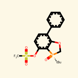 CC(C)(C)[P@@]1(=O)COc2c(-c3ccccc3)ccc(OS(=O)(=O)C(F)(F)F)c21